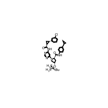 CC(C)(C)[Si](C)(C)O[C@H]1C[C@H](C(=O)Nc2ccc(C3CC3)cc2)N(c2cc(NC(=O)[C@H]3C[C@@H]3c3cccc(Cl)c3)ncn2)C1